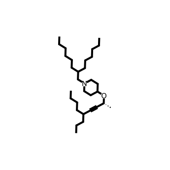 CCCCCCC(CCCCCC)CN1CCC(O[C@H](C)C#CC(CCC)CCCC)CC1